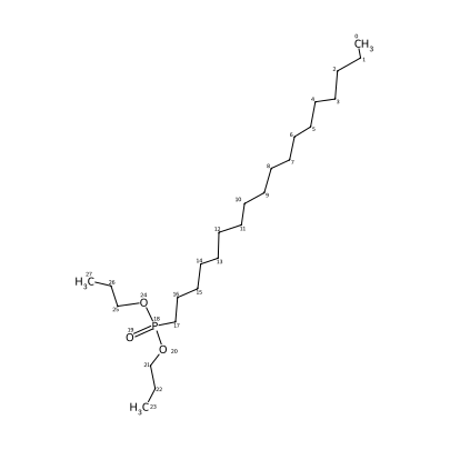 CCCCCCCCCCCCCCCCCCP(=O)(OCCC)OCCC